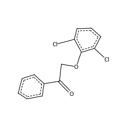 O=C(COc1c(Cl)cccc1Cl)c1ccccc1